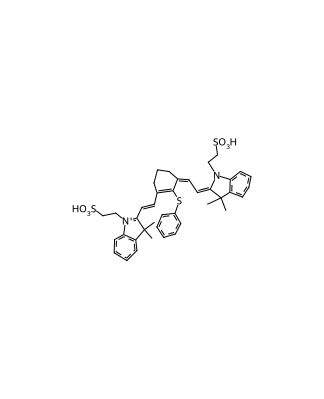 CC1(C)C(/C=C/C2=C(Sc3ccccc3)C(=C\C=C3/N(CCS(=O)(=O)O)c4ccccc4C3(C)C)/CCC2)=[N+](CCS(=O)(=O)O)c2ccccc21